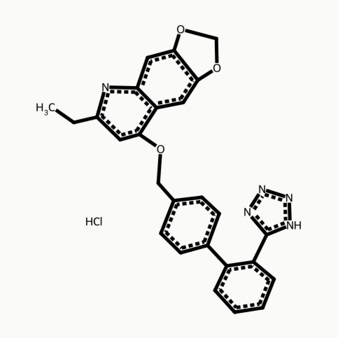 CCc1cc(OCc2ccc(-c3ccccc3-c3nnn[nH]3)cc2)c2cc3c(cc2n1)OCO3.Cl